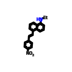 CCNc1cccc2c(/C=C/c3ccc([N+](=O)[O-])cc3)cccc12